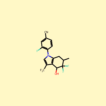 CC1Cc2c(c(C(F)(F)F)cn2-c2ccc(C#N)cc2F)C(O)C1(F)F